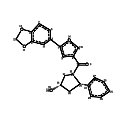 O=C(c1cc(-c2ccc3c(c2)OCO3)on1)N1C[C@@H](O)C[C@H]1c1ccccc1